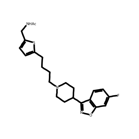 CC(=O)NCc1ccc(CCCCN2CCC(c3noc4cc(F)ccc34)CC2)s1